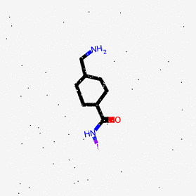 NCC1CCC(C(=O)NI)CC1